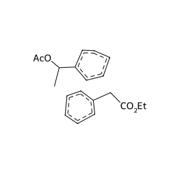 CC(=O)OC(C)c1ccccc1.CCOC(=O)Cc1ccccc1